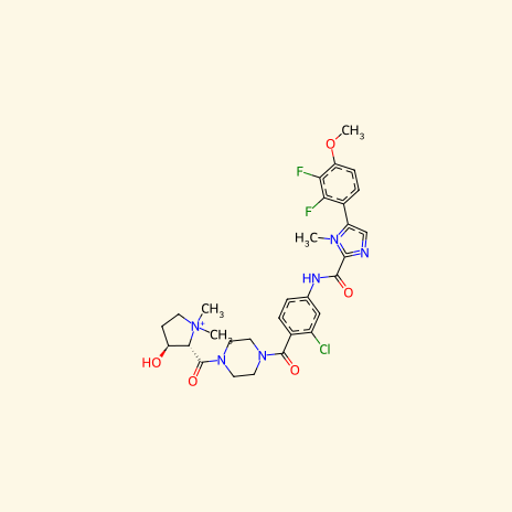 COc1ccc(-c2cnc(C(=O)Nc3ccc(C(=O)N4CCN(C(=O)[C@@H]5[C@@H](O)CC[N+]5(C)C)CC4)c(Cl)c3)n2C)c(F)c1F